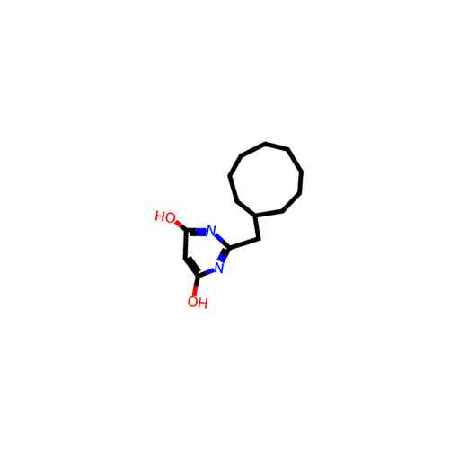 Oc1cc(O)nc(CC2CCCCCCCC2)n1